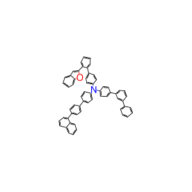 c1ccc(-c2cccc(-c3ccc(N(c4ccc(-c5ccc(-c6cccc7ccccc67)cc5)cc4)c4ccc(-c5ccccc5-c5cc6ccccc6o5)cc4)cc3)c2)cc1